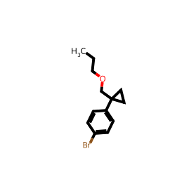 CCCOCC1(c2ccc(Br)cc2)CC1